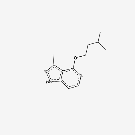 Cc1n[nH]c2ccnc(OCCC(C)C)c12